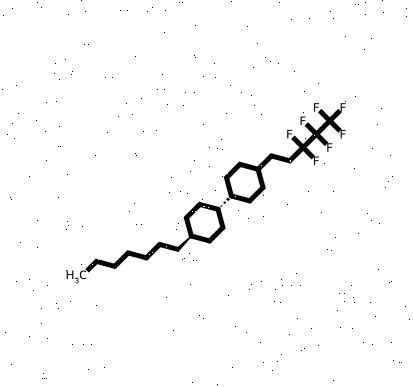 CCCCCCC[C@H]1CC[C@H](C2CCC(CCC(F)(F)C(F)(F)C(F)(F)F)CC2)CC1